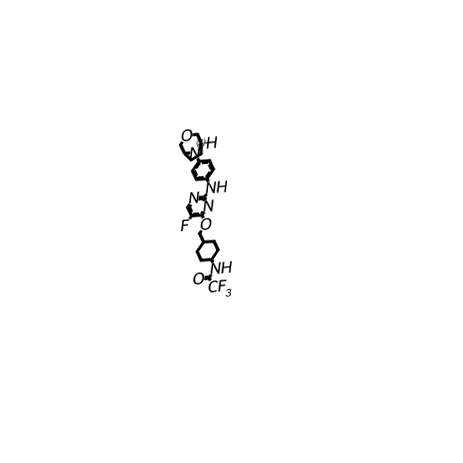 O=C(NC1CCC(COc2nc(Nc3ccc(N4C5CC[C@@H]4COC5)cc3)ncc2F)CC1)C(F)(F)F